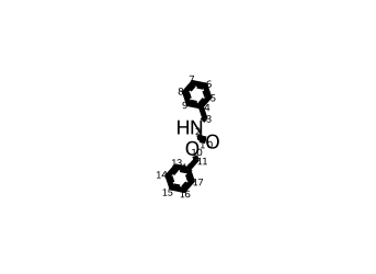 O=C(NCc1cc[c]cc1)OCc1ccccc1